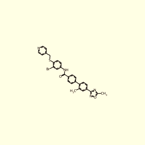 Cc1nc(-c2ccc(-c3ccc(C(=O)Nc4ccc(SCc5ccncc5)c(Br)c4)cc3)c(C)c2)no1